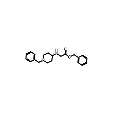 O=C(CNC1CCN(Cc2ccccc2)CC1)OCc1ccccc1